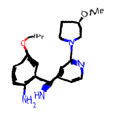 CO[C@@H]1CCN(c2cc(C(=N)c3cc(OC(C)C)ccc3N)ccn2)C1